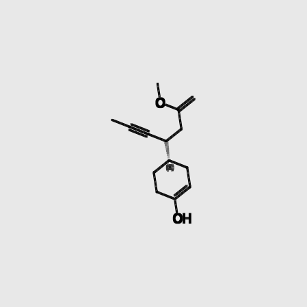 C=C(CC(C#CC)[C@@H]1CC=C(O)CC1)OC